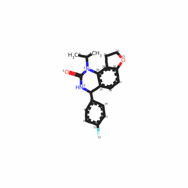 CC(C)N1C(=O)NC(c2ccc(F)cc2)c2ccc3c(c21)CCO3